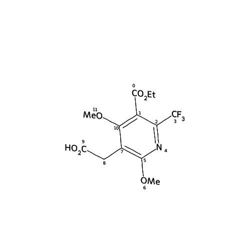 CCOC(=O)c1c(C(F)(F)F)nc(OC)c(CC(=O)O)c1OC